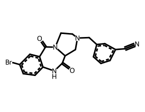 N#Cc1cccc(CN2CCN3C(=O)c4cc(Br)ccc4NC(=O)C3C2)c1